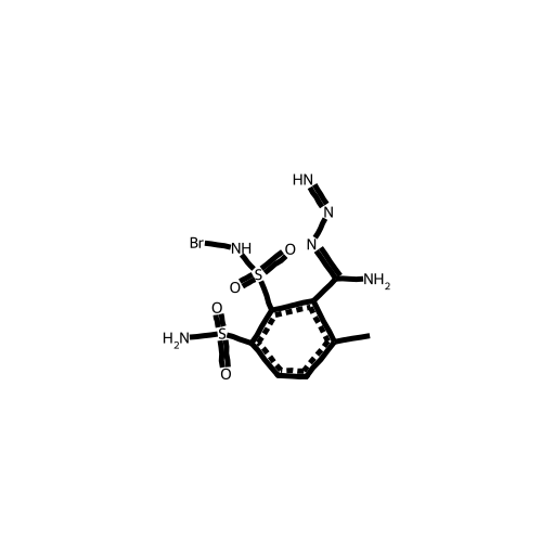 Cc1ccc(S(N)(=O)=O)c(S(=O)(=O)NBr)c1/C(N)=N/N=N